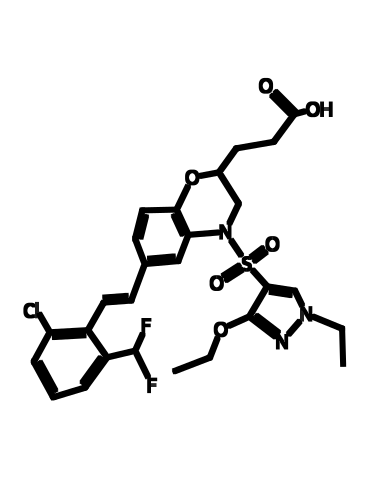 CCOc1nn(CC)cc1S(=O)(=O)N1CC(CCC(=O)O)Oc2ccc(C=Cc3c(Cl)cccc3C(F)F)cc21